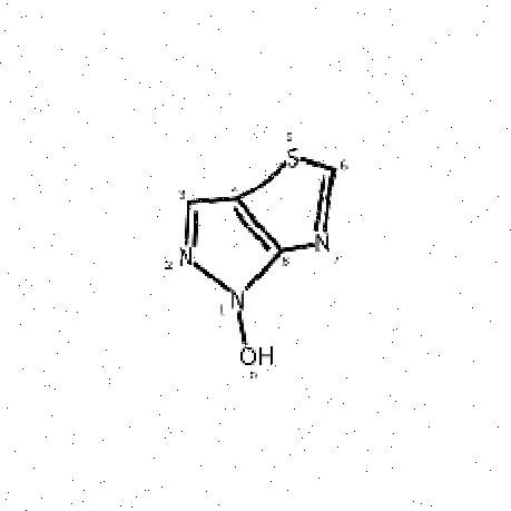 On1ncc2scnc21